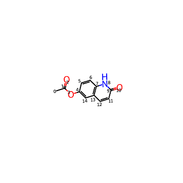 CC(=O)Oc1ccc2[nH]c(=O)ccc2c1